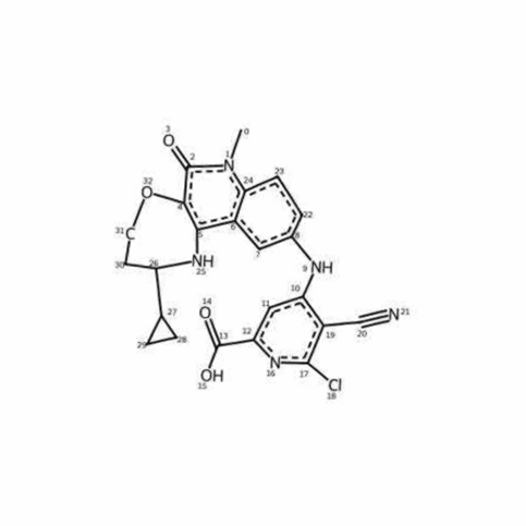 Cn1c(=O)c2c(c3cc(Nc4cc(C(=O)O)nc(Cl)c4C#N)ccc31)NC(C1CC1)CCO2